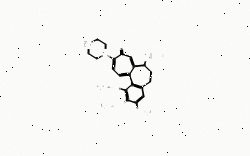 COc1cc2c(c(OC)c1OC)-c1ccc(N3CCNCC3)c(=O)cc1C(NC(C)=O)CC2